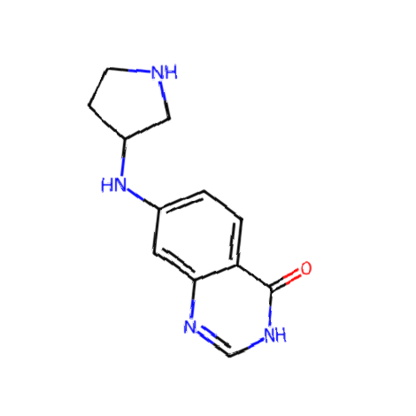 O=c1[nH]cnc2cc(NC3CCNC3)ccc12